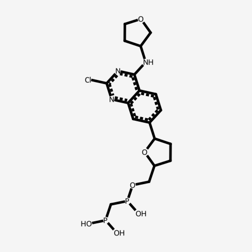 OP(O)CP(O)OCC1CCC(c2ccc3c(NC4CCOC4)nc(Cl)nc3c2)O1